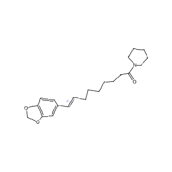 O=C(CCCCCC/C=C/c1ccc2c(c1)OCO2)N1CCCCC1